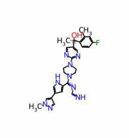 Cc1cc(F)ccc1[C@](C)(O)c1cnc(N2CCN(/C(=N/C=N)c3cc(-c4cnn(C)c4)c[nH]3)CC2)nc1